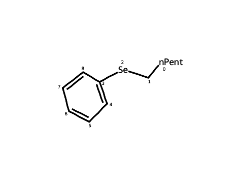 CCCCCC[Se]c1ccccc1